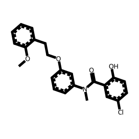 COc1ccccc1CCOc1cccc(N(C)C(=O)c2cc(Cl)ccc2O)c1